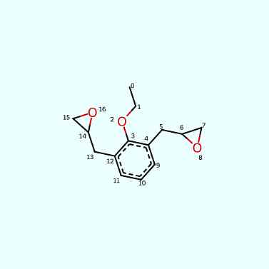 CCOc1c(CC2CO2)cccc1CC1CO1